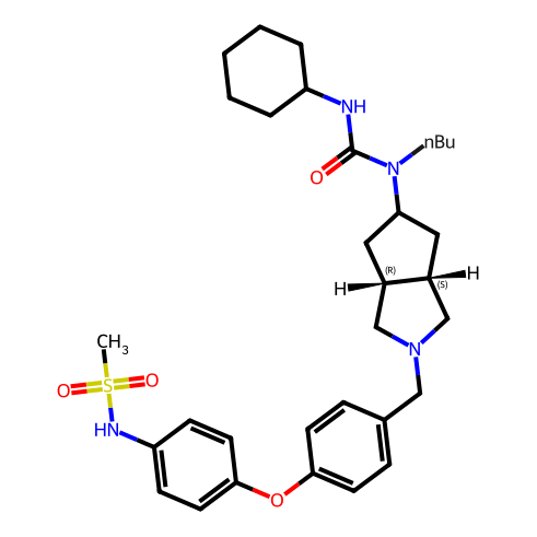 CCCCN(C(=O)NC1CCCCC1)C1C[C@@H]2CN(Cc3ccc(Oc4ccc(NS(C)(=O)=O)cc4)cc3)C[C@@H]2C1